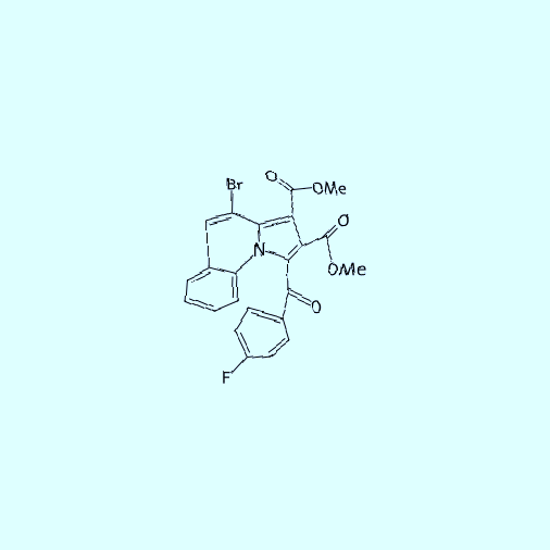 COC(=O)c1c(C(=O)OC)c2c(Br)cc3ccccc3n2c1C(=O)c1ccc(F)cc1